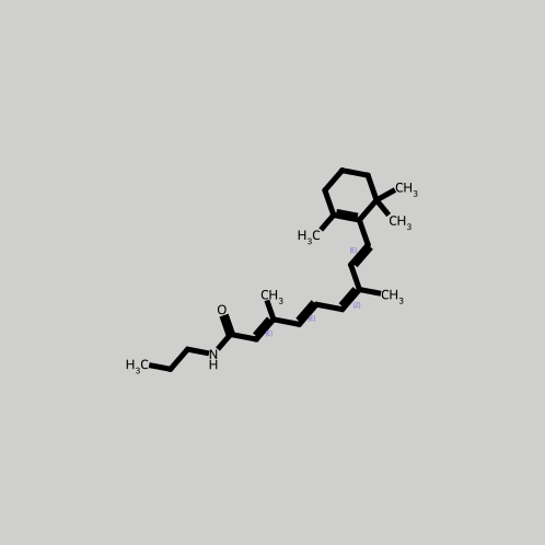 CCCNC(=O)/C=C(C)/C=C/C=C(C)\C=C\C1=C(C)CCCC1(C)C